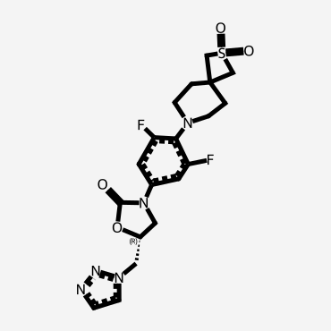 O=C1O[C@@H](Cn2ccnn2)CN1c1cc(F)c(N2CCC3(CC2)CS(=O)(=O)C3)c(F)c1